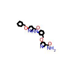 NC(=O)c1cncc(OCc2cccc(NC(=O)c3ccc(OCc4ccccc4)nc3)c2)c1